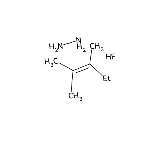 CCC(C)=C(C)C.F.NN